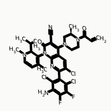 C=CC(=O)N1CCN(c2c(C#N)c(=O)n(C3=C(C)C=CN(C)C3C(C)C)c3nc(-c4c(Cl)c(N)c(F)c(F)c4Cl)c(Cl)cc23)C[C@H]1C